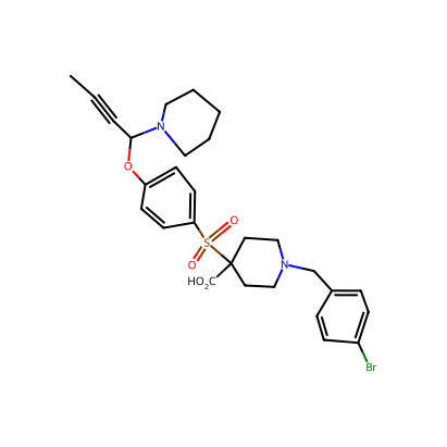 CC#CC(Oc1ccc(S(=O)(=O)C2(C(=O)O)CCN(Cc3ccc(Br)cc3)CC2)cc1)N1CCCCC1